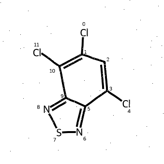 Clc1cc(Cl)c2nsnc2c1Cl